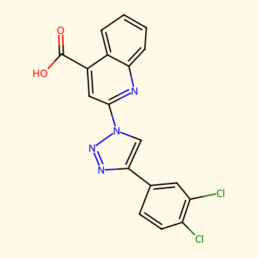 O=C(O)c1cc(-n2cc(-c3ccc(Cl)c(Cl)c3)nn2)nc2ccccc12